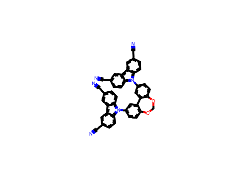 N#Cc1ccc2c(c1)c1cc(C#N)ccc1n2-c1ccc2c(c1)-c1cc(-n3c4ccc(C#N)cc4c4cc(C#N)ccc43)ccc1OCO2